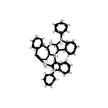 C1=C2CC3=C(OC4C(B3c3c(n(-c5ccccc5)c5ccccc35)O2)c2ccccc2N4c2ccccc2)c2ccccc21